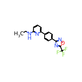 CCNc1cccc(-c2ccc(-c3noc(C(F)(F)F)n3)cc2)n1